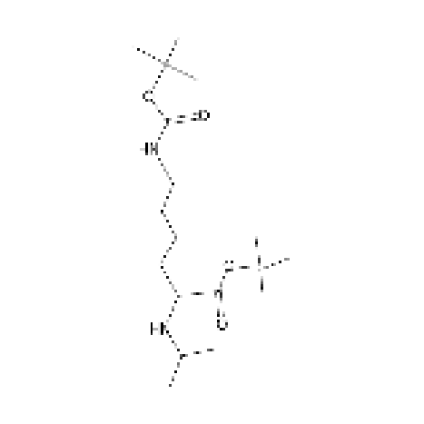 CC(C)NC(CCCCNC(=O)OC(C)(C)C)C(=O)OC(C)(C)C